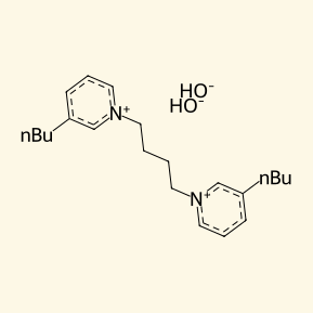 CCCCc1ccc[n+](CCCC[n+]2cccc(CCCC)c2)c1.[OH-].[OH-]